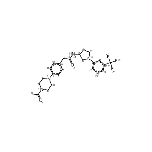 CC(=O)N1CCN(c2ccc(CC(=O)NC3CCN(c4cncc(C(F)(F)F)c4)C3)cc2)CC1